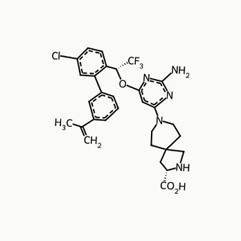 C=C(C)c1cccc(-c2cc(Cl)ccc2[C@@H](Oc2cc(N3CCC4(CC3)CN[C@H](C(=O)O)C4)nc(N)n2)C(F)(F)F)c1